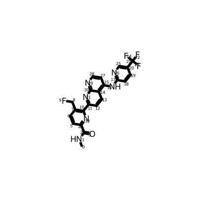 CNC(=O)c1ccc(CF)c(-c2ccc3c(Nc4ccc(C(F)(F)F)cn4)ccnc3n2)n1